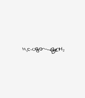 C=CC(=O)OCCCCCCc1ccc(C(=O)OC2CCC(CCC)CC2)cc1